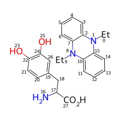 CCN1c2ccccc2N(CC)c2ccccc21.NC(Cc1ccc(O)c(O)c1)C(=O)O